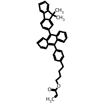 C=CC(=O)OCCCCc1ccc(-c2c3ccccc3c(-c3ccc4c(c3)C(C)(C)c3ccccc3-4)c3ccccc23)cc1